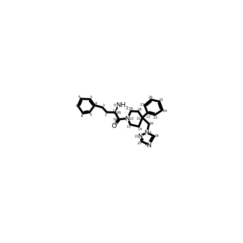 N[C@H](CCc1ccccc1)C(=O)N1CCC(Cn2cncn2)(c2ccccc2)CC1